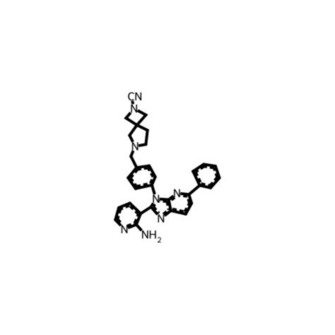 N#CN1CC2(CCN(Cc3ccc(-n4c(-c5cccnc5N)nc5ccc(-c6ccccc6)nc54)cc3)C2)C1